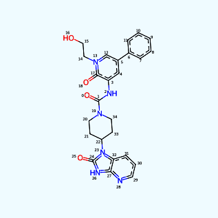 O=C(Nc1cc(-c2ccccc2)cn(CCO)c1=O)N1CCC(n2c(=O)[nH]c3ncccc32)CC1